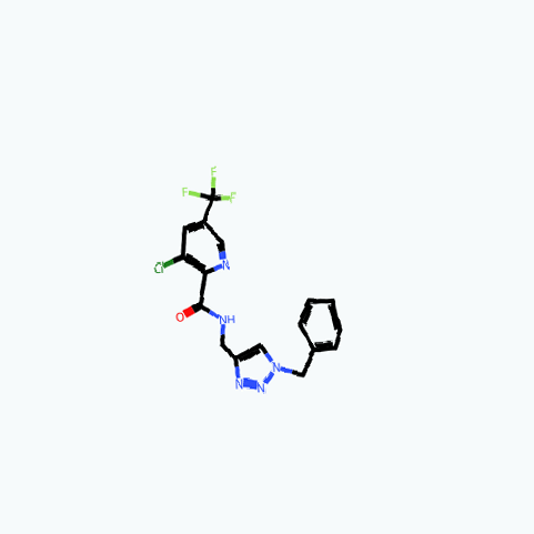 O=C(NCc1cn(Cc2ccccc2)nn1)c1ncc(C(F)(F)F)cc1Cl